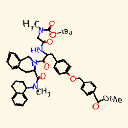 COC(=O)c1ccc(COc2ccc(CC(NC(=O)CN(C)C(=O)OC(C)(C)C)C(=O)N3Cc4ccccc4CC3C(=O)N(C)C3CCCc4ccccc43)cc2)cc1